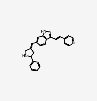 C(=C\c1n[nH]c2cc(/C=C3/CNC(c4ccccc4)C3)ccc12)/c1ccncc1